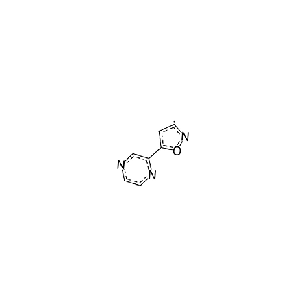 [c]1cc(-c2cnccn2)on1